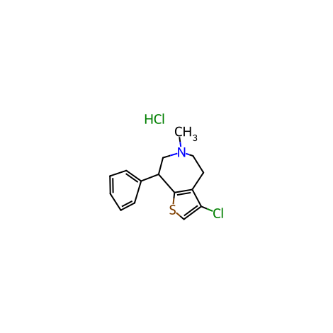 CN1CCc2c(Cl)csc2C(c2ccccc2)C1.Cl